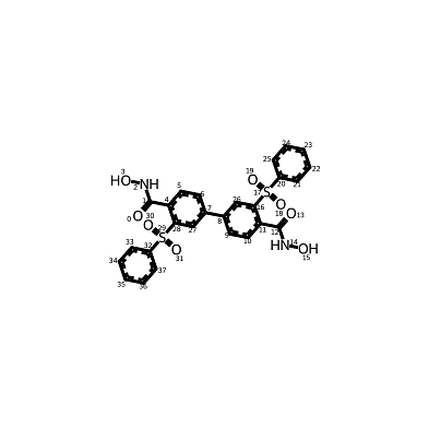 O=C(NO)c1ccc(-c2ccc(C(=O)NO)c(S(=O)(=O)c3ccccc3)c2)cc1S(=O)(=O)c1ccccc1